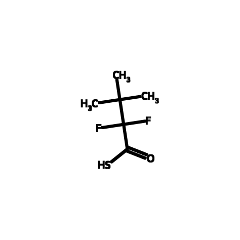 CC(C)(C)C(F)(F)C(=O)S